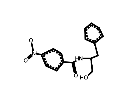 O=C(NC(CO)Cc1ccccc1)c1ccc([N+](=O)[O-])cc1